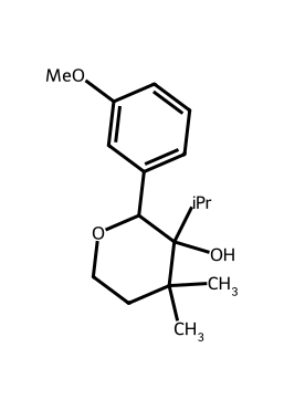 COc1cccc(C2OCCC(C)(C)C2(O)C(C)C)c1